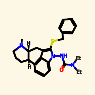 CCN(CC)C(=O)Nn1c(SCc2ccccc2)c2c3c(cccc31)[C@H]1CCCN(C)[C@@H]1C2